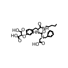 CCCCCNC(=O)C(Cc1ccc(OC(C(=O)O)C(=O)O)cc1)NC(=O)N(CC(=O)O)Cc1ccccc1